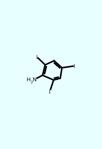 Nc1c(I)[c]c(I)cc1I